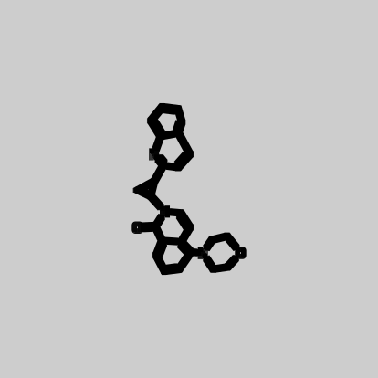 O=c1c2cccc(N3CCOCC3)c2ccn1C1CC1c1ccc2ccccc2n1